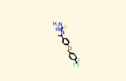 C/C(=N\NC(N)=S)c1ccc(OCc2ccc(C(F)(F)F)cc2)cc1